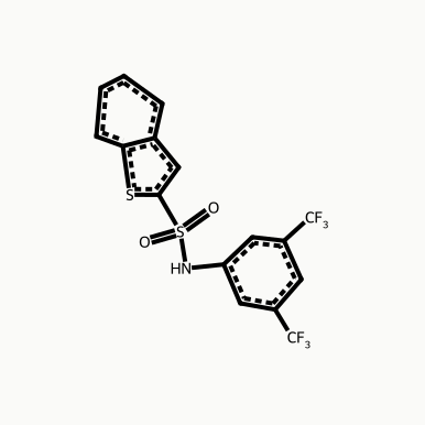 O=S(=O)(Nc1cc(C(F)(F)F)cc(C(F)(F)F)c1)c1cc2ccccc2s1